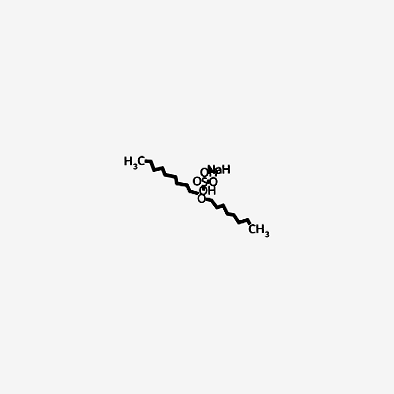 CCCCCCCCCCOCCCCCCCC.O=S(=O)(O)O.[NaH]